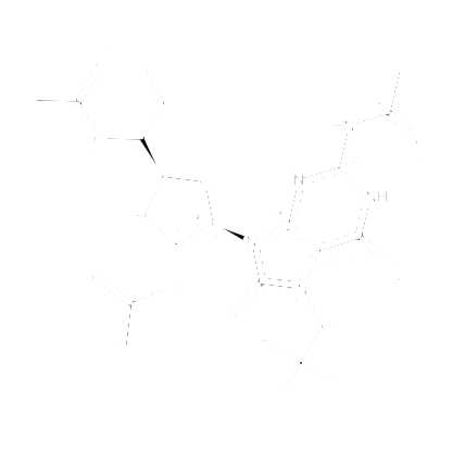 CCC(OC(C)=O)[C@@H]1C[C@@H](OC(C)=O)[C@H](n2c(=O)n(CC(F)(F)F)c3c(=O)[nH]c(NC(C)=O)nc32)O1